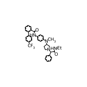 CCNC(=O)C(c1ccccc1)N1CCC(N(C)c2ccc(NC(=O)c3ccccc3-c3ccc(C(F)(F)F)cc3)cc2)C1